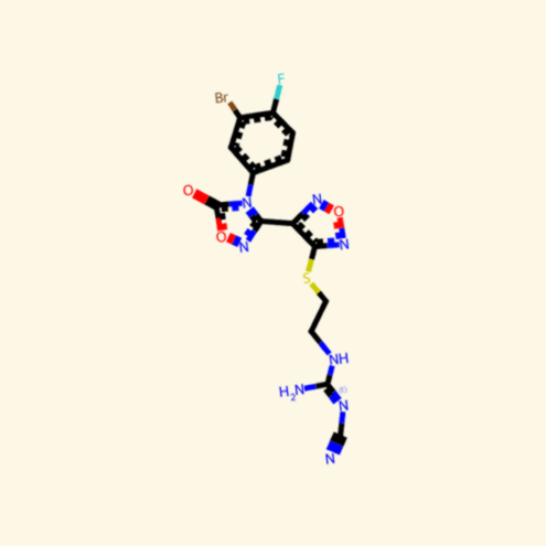 N#C/N=C(\N)NCCSc1nonc1-c1noc(=O)n1-c1ccc(F)c(Br)c1